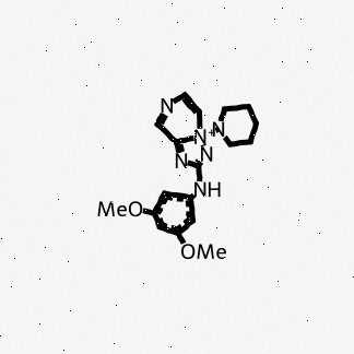 COc1cc(NC2=N[N+]3(N4CCCCC4)C=CN=CC3=N2)cc(OC)c1